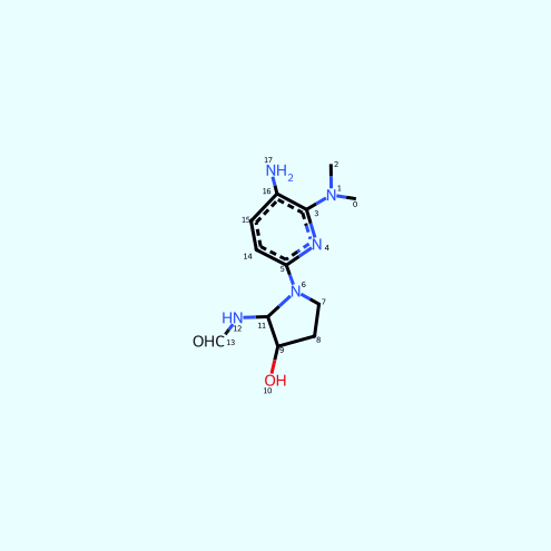 CN(C)c1nc(N2CCC(O)C2NC=O)ccc1N